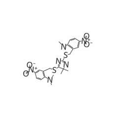 CN(C)c1ccc([N+](=O)[O-])cc1CSC1=NC(C)(C)C(SCc2cc([N+](=O)[O-])ccc2N(C)C)=N1